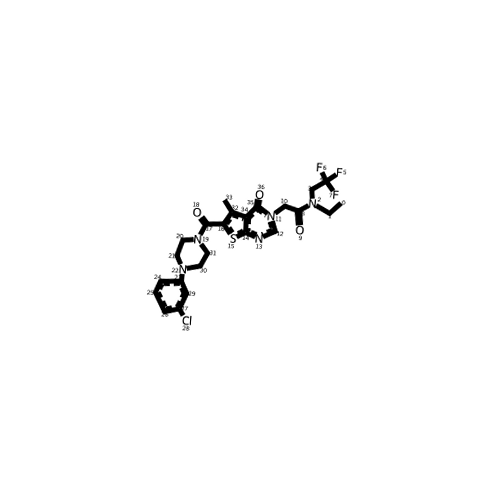 CCN(CC(F)(F)F)C(=O)Cn1cnc2sc(C(=O)N3CCN(c4cccc(Cl)c4)CC3)c(C)c2c1=O